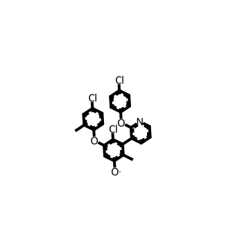 Cc1cc(Cl)ccc1Oc1cc([O])c(C)c(-c2cccnc2Oc2ccc(Cl)cc2)c1Cl